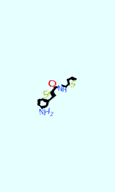 Nc1ccc2sc(C(=O)NCCc3cccs3)cc2c1